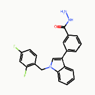 NNC(=O)c1cccc(-c2cn(Cc3ccc(F)cc3F)c3ccccc23)c1